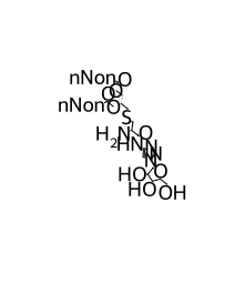 CCCCCCCCCC(=O)OC[C@H](CSC[C@@H](N)C(=O)Nc1cn([C@H]2OC(CO)[C@@H](O)[C@H]2O)nn1)OC(=O)CCCCCCCCC